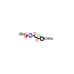 COc1ccc(C(=O)/C=C/C(=O)N2CCN(C(=O)OC(C)(C)C)CC2)c(Cl)c1